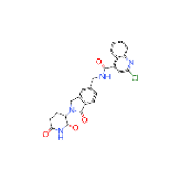 O=C1CCC(N2Cc3cc(CNC(=O)c4cc(Cl)nc5ccccc45)ccc3C2=O)C(=O)N1